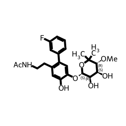 CO[C@@H]1[C@@H](O)[C@@H](O)[C@H](Oc2cc(-c3cccc(F)c3)c(CCNC(C)=O)cc2O)OC1(C)C